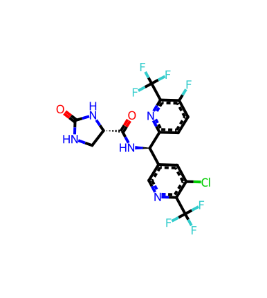 O=C1NC[C@@H](C(=O)N[C@H](c2cnc(C(F)(F)F)c(Cl)c2)c2ccc(F)c(C(F)(F)F)n2)N1